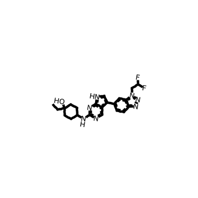 CCC1(O)CCC(Nc2ncc3c(-c4ccc5nnn(CC(F)F)c5c4)c[nH]c3n2)CC1